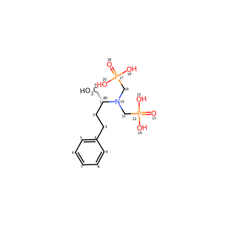 O=C(O)[C@@H](CCc1ccccc1)N(CP(=O)(O)O)CP(=O)(O)O